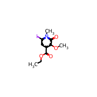 CCOC(=O)c1cc(I)n(C)c(=O)c1OC